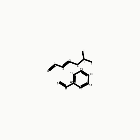 C=CC=CCC(C)C.C=Cc1ccccc1